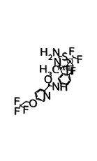 C[C@]1(c2cc(NC(=O)c3ccc(OCC(F)(F)F)cn3)ccc2F)N=C(N)S[C@@]2(C(F)F)C[C@@H]12